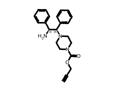 C#CCOC(=O)N1CCN([C@H](c2ccccc2)[C@@H](N)c2ccccc2)CC1